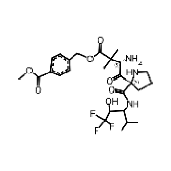 COC(=O)c1ccc(COC(=O)C(C)(C)[C@H](N)C(=O)[C@]2(C(=O)NC(C(C)C)C(O)C(F)(F)F)CCCN2)cc1